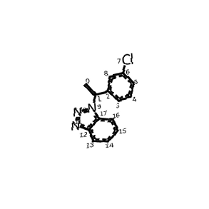 C=C(c1cccc(Cl)c1)n1nnc2ccccc21